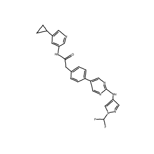 O=C(Cc1ccc(-c2cnc(Nc3cnn(C(F)F)c3)nc2)cc1)Nc1cncc(C2CC2)c1